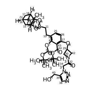 CC(C)(C)OC(=O)Oc1c(CCB2O[C@@H]3C[C@@H]4C[C@@H](C4(C)C)[C@]3(C)O2)ccc(OC2CN(C(=O)Cn3nncc3CO)C2)c1C(=O)OC(C)(C)C